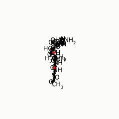 CC(=O)CCC(=O)SCCNC(=O)CCNC(=O)[C@H](O)C(C)(C)COP(=O)(O)OP(=O)(O)OC[C@H]1O[C@@H](n2cnc3c(N)ncnc32)[C@H](O)[C@@H]1OP(=O)(O)O